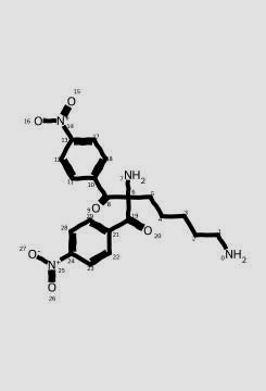 NCCCCCC(N)(C(=O)c1ccc([N+](=O)[O-])cc1)C(=O)c1ccc([N+](=O)[O-])cc1